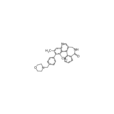 Cc1cc2ncc3c(c2c(C)c1-c1ccc(CN2CCOCC2)cc1)-c1ccccc1C(=O)NC3